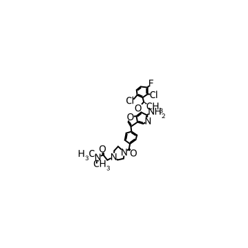 C[C@@H](Oc1c(N)ncc2c(-c3ccc(C(=O)N4CCN(CC(=O)N(C)C)CC4)cc3)coc12)c1c(Cl)ccc(F)c1Cl